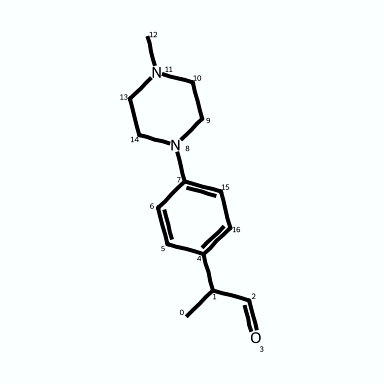 CC(C=O)c1ccc(N2CCN(C)CC2)cc1